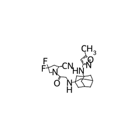 Cc1cc(NC23CC4CC(CC(NCC(=O)N5CC(F)(F)C[C@H]5C#N)(C4)C2)C3)no1